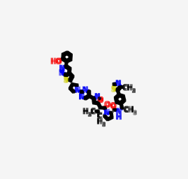 Cc1ncsc1-c1ccc([C@H](C)NC(=O)[C@@H]2CCCN2C(=O)[C@@H](c2cc(-c3cnc(N4CC[C@H](c5cc6cc(-c7ccccc7O)nnc6s5)C4)nc3)no2)C(C)C)cc1